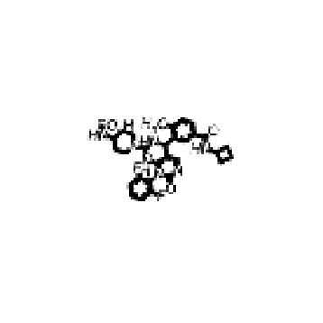 Cc1ccc(C(=O)NC2CCC2)cc1C1NC(N2CCC(NC(=O)O)CC2)Nc2c1cnc(=O)n2-c1c(F)cccc1F